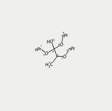 CCCOC(C)C(O)(OCCC)OCCC